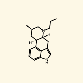 CCCN1C[C@H](C)C[C@@H]2c3cccc4[nH]cc(c34)C[C@H]21